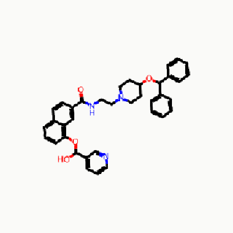 O=C(NCCN1CCC(OC(c2ccccc2)c2ccccc2)CC1)c1ccc2cccc(OC(O)c3cccnc3)c2c1